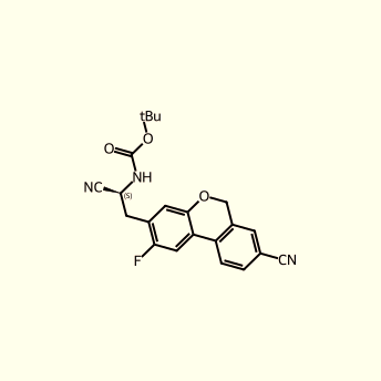 CC(C)(C)OC(=O)N[C@H](C#N)Cc1cc2c(cc1F)-c1ccc(C#N)cc1CO2